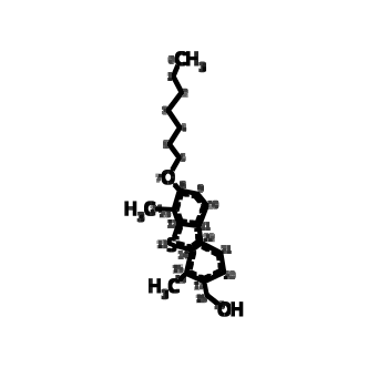 CCCCCCCOc1ccc2c(sc3c(C)c(CO)ccc32)c1C